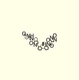 COc1nc(-c2cccc(-c3cccc(NC(=O)c4cn(C)c(=O)n(C)c4=O)c3F)c2C)cc2c1C(N1CC3(CCC(=O)N3)C1)CC2